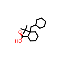 CC(C)(C)C1(CC2CCCCC2)CCCCC1C(=O)O